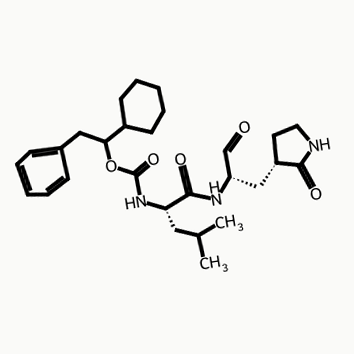 CC(C)C[C@H](NC(=O)OC(Cc1ccccc1)C1CCCCC1)C(=O)N[C@H](C=O)C[C@@H]1CCNC1=O